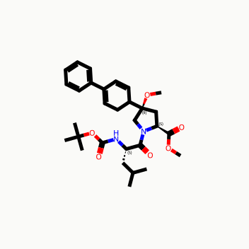 COC(=O)[C@@H]1C[C@@](OC)(C2C=CC(c3ccccc3)=CC2)CN1C(=O)[C@H](CC(C)C)NC(=O)OC(C)(C)C